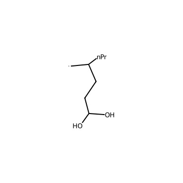 [CH2]C(CCC)CCC(O)O